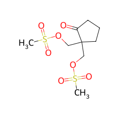 CS(=O)(=O)OCC1(COS(C)(=O)=O)CCCC1=O